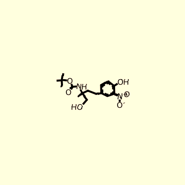 CC(CO)(CCc1ccc(O)c([N+](=O)[O-])c1)NC(=O)OC(C)(C)C